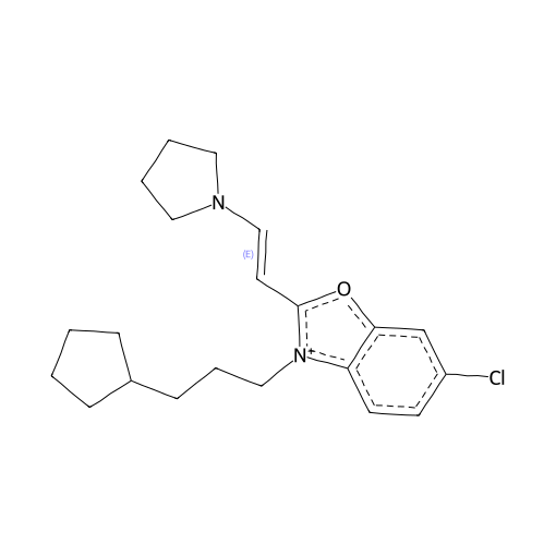 Clc1ccc2c(c1)oc(/C=C/N1CCCC1)[n+]2CCCC1CCCC1